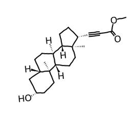 COC(=O)C#C[C@H]1CC[C@H]2[C@@H]3CC[C@H]4C[C@@H](O)CC[C@]4(C)[C@H]3CC[C@]12C